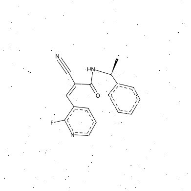 C[C@H](NC(=O)C(C#N)=Cc1cccnc1F)c1ccccc1